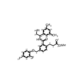 COC(=O)CCc1ccc(COc2ccc(F)cc2F)cc1C(=O)NC(CC(C)C)c1cc(C)cc(C)c1